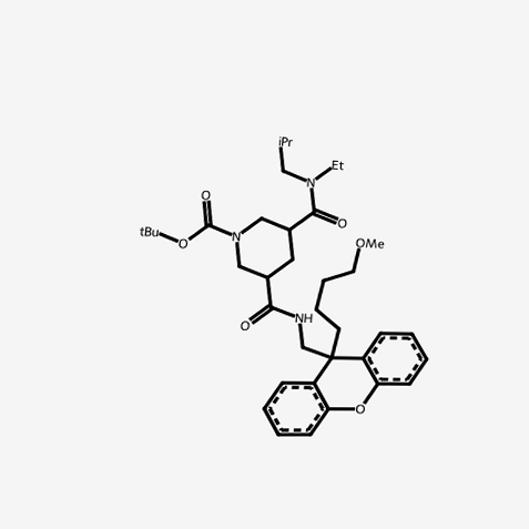 CCN(CC(C)C)C(=O)C1CC(C(=O)NCC2(CCCCOC)c3ccccc3Oc3ccccc32)CN(C(=O)OC(C)(C)C)C1